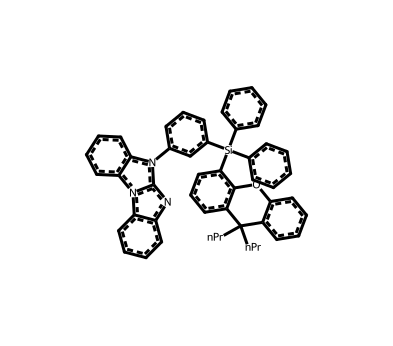 CCCC1(CCC)c2ccccc2Oc2c1cccc2[Si](c1ccccc1)(c1ccccc1)c1cccc(-n2c3ccccc3n3c4ccccc4nc23)c1